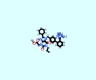 CCCn1c(=O)c2c(nc(C3CCCCC3)n2Cc2ccc(-c3ccccc3-c3nnn[nH]3)cc2)n(CC(=O)OC)c1=O